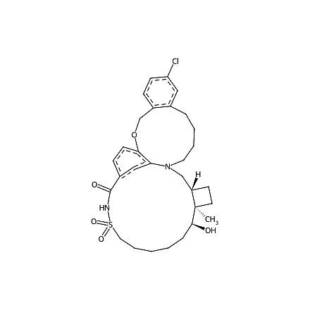 C[C@@]12CC[C@H]1CN1CCCCc3cc(Cl)ccc3COc3ccc(cc31)C(=O)NS(=O)(=O)CCCCC[C@@H]2O